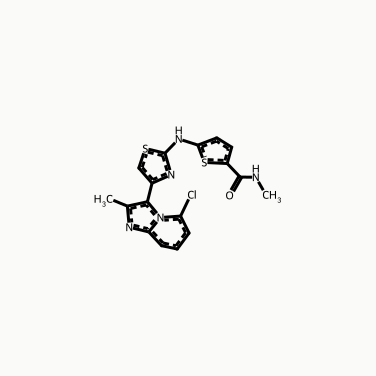 CNC(=O)c1ccc(Nc2nc(-c3c(C)nc4cccc(Cl)n34)cs2)s1